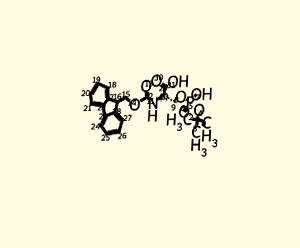 CC(C)(C)OP(=O)(O)OC[C@H](NC(=O)OCC1c2ccccc2-c2ccccc21)C(=O)O